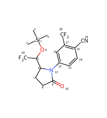 C[Si](C)(C)OC(C1CCC(=O)N1c1ccc(C#N)c(C(F)(F)F)c1)C(F)(F)F